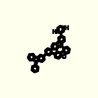 C1=C(c2ccc3c(c2)c2ccccc2n3-c2cccc3oc4ccc(-c5cccc(-c6ccc7c(c6)c6ccccc6n7-c6ccccc6)c5)cc4c23)NCCN1